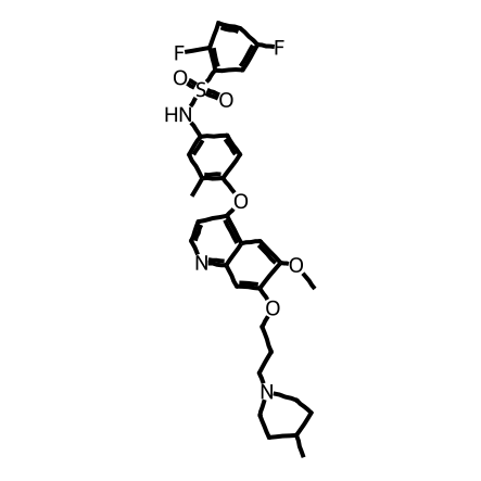 COc1cc2c(Oc3ccc(NS(=O)(=O)c4cc(F)ccc4F)cc3C)ccnc2cc1OCCCN1CCC(C)CC1